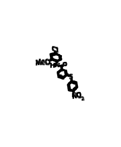 COc1cc(Cl)ccc1NC(=O)c1cccc(Sc2ccc([N+](=O)[O-])cc2)c1